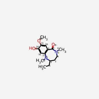 CCC1CCN(C)C(=O)c2cc(OC)c(O)cc2N1C